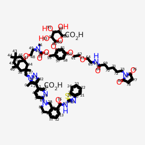 Cc1c(-c2ccc(N3CCc4cccc(C(=O)Nc5nc6ccccc6s5)c4C3)nc2C(=O)O)cnn1CC1(C)CC2(C)CC(C)(C)CC(OCCN(C)C(=O)OCc3ccc(OCCOCCNC(=O)CCCCCN4C(=O)C=CC4=O)cc3O[C@@H]3O[C@H](C(=O)O)[C@@H](O)[C@H](O)[C@H]3O)(C1)C2